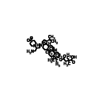 C=C(C)[C@@H]1CC[C@]2(NCC(CN)N3CCS(=O)(=O)CC3)CC[C@]3(C)[C@H](CC[C@@H]4[C@@]5(C)CC[C@H](OC(=O)CC(C)(C)C(=O)O)C(C)(C)[C@@H]5CC[C@]43C)[C@@H]12